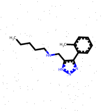 CCCCCNCc1[nH]nnc1-c1ccccc1C